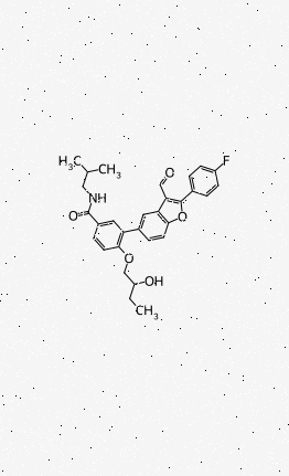 CCC(O)COc1ccc(C(=O)NCC(C)C)cc1-c1ccc2oc(-c3ccc(F)cc3)c(C=O)c2c1